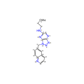 COCCNc1cnc2nnn(Cc3ccc4ncccc4c3)c2n1